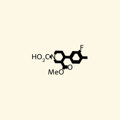 COC(=O)C1CN(C(=O)O)CCC1c1ccc(C)c(F)c1